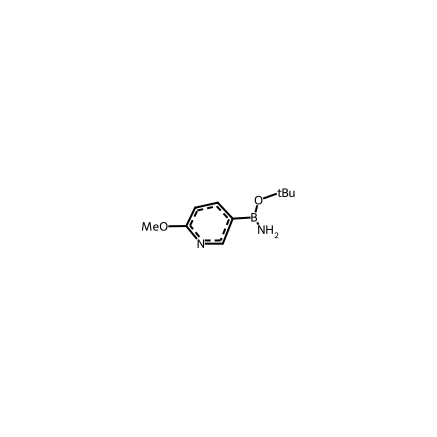 COc1ccc(B(N)OC(C)(C)C)cn1